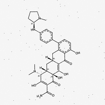 CN(C)[C@H]1C(O)=C(C(N)=O)C(=O)[C@@]2(O)C(O)=C3C(=O)c4c(O)ccc(-c5ccc(N[C@H]6CCCN6C)cc5)c4C[C@H]3C[C@@H]12